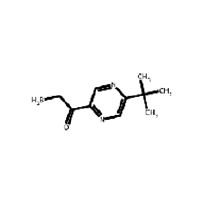 BCC(=O)c1cnc(C(C)(C)C)cn1